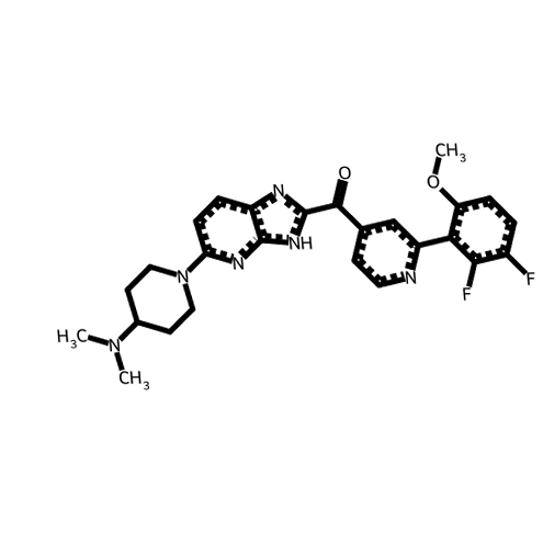 COc1ccc(F)c(F)c1-c1cc(C(=O)c2nc3ccc(N4CCC(N(C)C)CC4)nc3[nH]2)ccn1